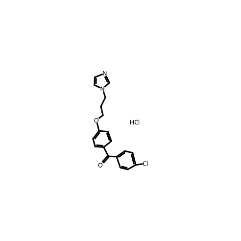 Cl.O=C(c1ccc(Cl)cc1)c1ccc(OCCCn2ccnc2)cc1